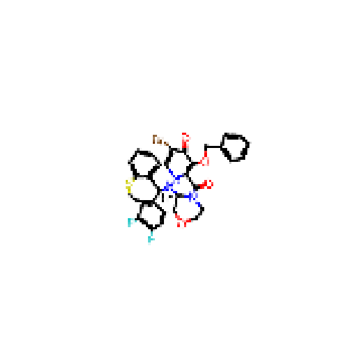 O=C1c2c(OCc3ccccc3)c(=O)c(Br)cn2N([C@@H]2c3ccccc3SCc3c2ccc(F)c3F)[C@@H]2COCCN12